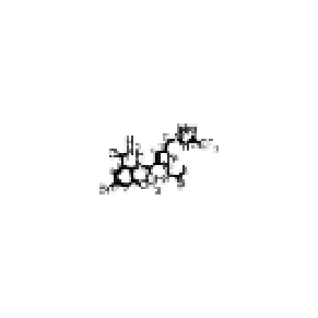 Cc1cc(Br)cc(C(N)=O)c1NC(O)c1cc(Cn2nnc(C(F)(F)F)n2)nn1CC(F)F